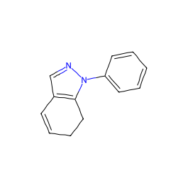 C1=Cc2cnn(-c3ccccc3)c2CC1